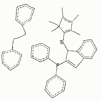 CC1=C(C)C(C)(C)[C]([Ti][CH]2C(P(c3ccccc3)c3ccccc3)=Cc3ccccc32)=C1C.c1ccc(CCc2ccccc2)cc1